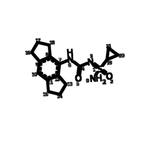 NS(=O)(=NC(=O)Nc1c2c(cc3c1CCC3)CCC2)C1CC1